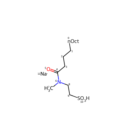 CCCCCCCCCCCC(=O)N(C)CCS(=O)(=O)O.[Na]